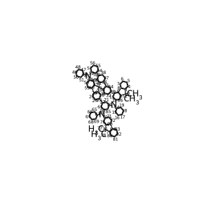 CC1(C)c2ccccc2-c2ccc(N(c3ccccc3)c3cc(-c4ccc5c(c4)C4(c6ccccc6-c6ccccc64)c4cc(N(c6ccccc6)c6ccccc6)ccc4-5)cc(N(c4ccccc4)c4ccc5c(c4)C(C)(C)c4ccccc4-5)c3)cc21